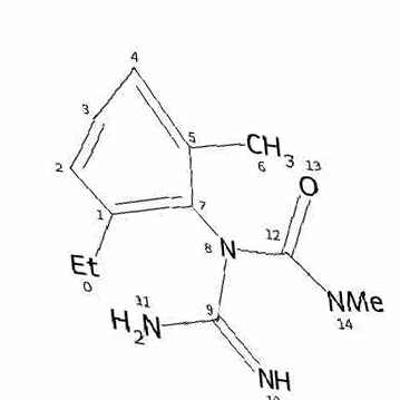 CCc1cccc(C)c1N(C(=N)N)C(=O)NC